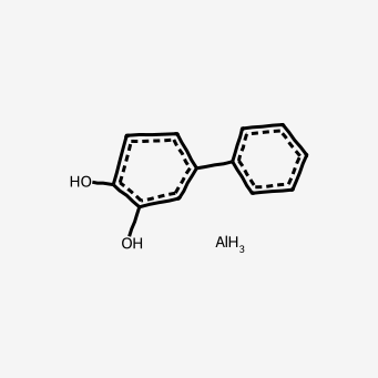 Oc1ccc(-c2ccccc2)cc1O.[AlH3]